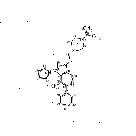 C=C(C)N1CCN(CCn2nc(-n3cccn3)c3c(Cl)c(-c4ccccc4)nnc32)CC1